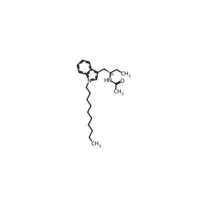 CCCCCCCCCCn1cc(C[C@@H](CC)NC(C)=O)c2ccccc21